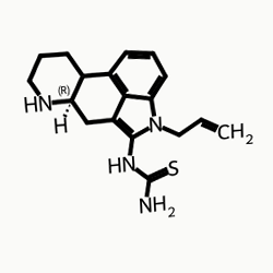 C=CCn1c(NC(N)=S)c2c3c(cccc31)C1CCCN[C@@H]1C2